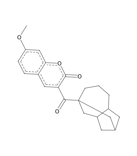 COc1ccc2cc(C(=O)C34CCCC5CC(CC5C3)C4)c(=O)oc2c1